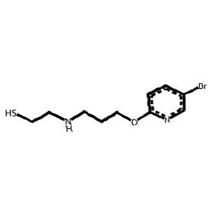 SCCNCCCOc1ccc(Br)cn1